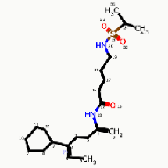 C=C(CC/C(=C\C)C1CCCCC1)NC(=O)CCCCNS(=O)(=O)C(C)C